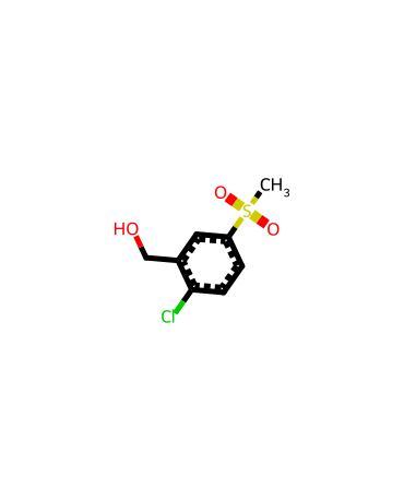 CS(=O)(=O)c1ccc(Cl)c(CO)c1